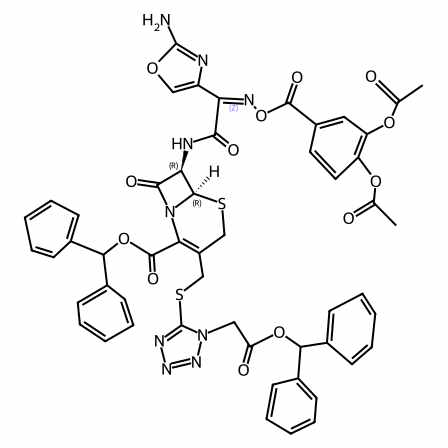 CC(=O)Oc1ccc(C(=O)O/N=C(\C(=O)N[C@@H]2C(=O)N3C(C(=O)OC(c4ccccc4)c4ccccc4)=C(CSc4nnnn4CC(=O)OC(c4ccccc4)c4ccccc4)CS[C@H]23)c2coc(N)n2)cc1OC(C)=O